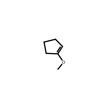 [CH2]OC1=CCCC1